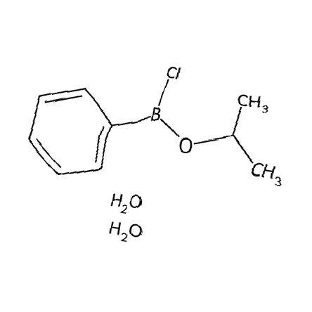 CC(C)OB(Cl)c1ccccc1.O.O